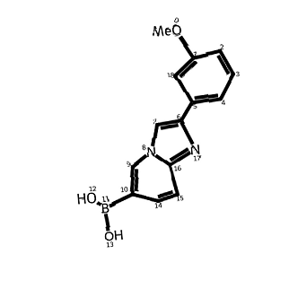 COc1cccc(-c2cn3cc(B(O)O)ccc3n2)c1